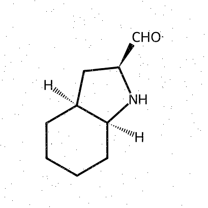 O=[C][C@@H]1C[C@@H]2CCCC[C@@H]2N1